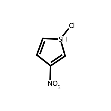 O=[N+]([O-])C1=C[SH](Cl)C=C1